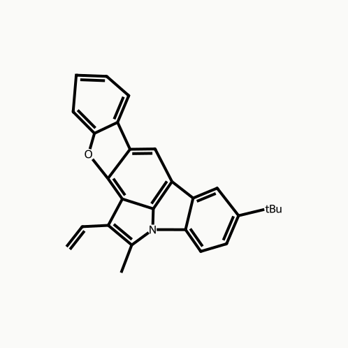 C=Cc1c(C)n2c3ccc(C(C)(C)C)cc3c3cc4c5ccccc5oc4c1c32